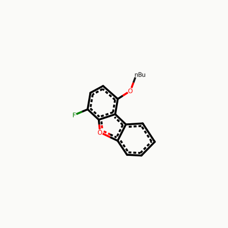 CCCCOc1ccc(F)c2oc3ccccc3c12